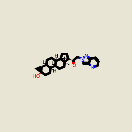 C[C@]12CC[C@@H]3[C@H]4CC[C@]5(O)CC5[C@H]4CC[C@H]3[C@@H]1CC[C@@H]2C(=O)Cn1cc2ncccc2n1